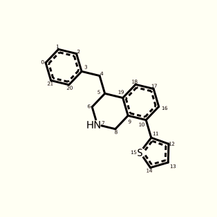 c1ccc(CC2CNCc3c(-c4cccs4)cccc32)cc1